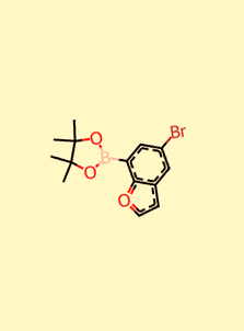 CC1(C)OB(c2cc(Br)cc3ccoc23)OC1(C)C